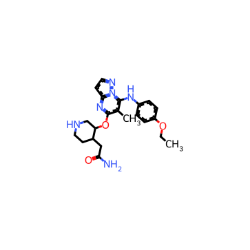 CCOc1ccc(Nc2c(C)c(OC3CNCCC3CC(N)=O)nc3ccnn23)cc1